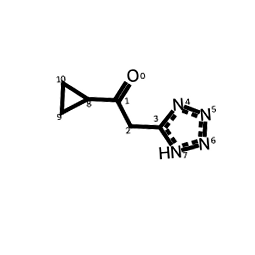 O=C(Cc1nnn[nH]1)C1CC1